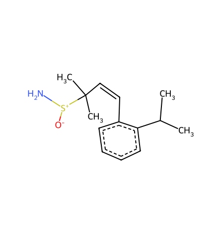 CC(C)c1ccccc1/C=C\C(C)(C)[S+](N)[O-]